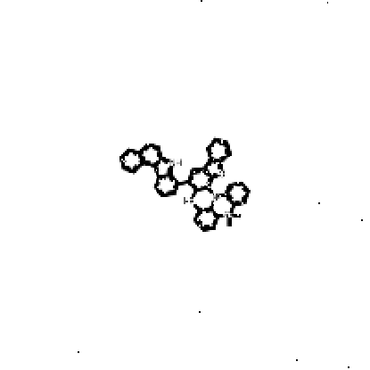 C[Si]1(C)c2ccccc2N2c3c(cccc31)Bc1c(-c3cccc4c3[nH]c3ccc5ccccc5c34)cc3c(oc4ccccc43)c12